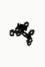 C1=CCC(C2C=CC(C3NC4=C(CCC=C4)N=C3n3c4ccccc4c4cc5c6c7ccccc7ccc6n(-c6ccccc6)c5cc43)=CC2)C=C1